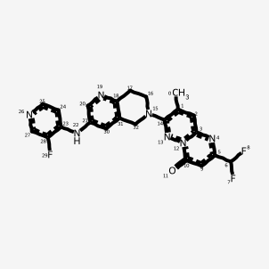 Cc1cc2nc(C(F)F)cc(=O)n2nc1N1CCc2ncc(Nc3ccncc3F)cc2C1